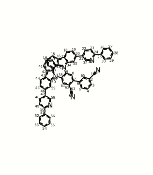 N#Cc1cccc(-c2cc(-n3c4ccccc4c4ccc(-c5ccc(-c6ccccc6)nc5)cc43)c(-n3c4ccccc4c4ccc(-c5ccc(-c6ccccc6)nc5)cc43)cc2C#N)c1